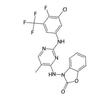 Cc1cnc(Nc2cc(Cl)c(F)c(C(F)(F)F)c2)nc1Nn1c(=O)oc2ccccc21